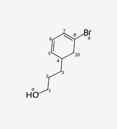 OCCCC1C=CC=C(Br)C1